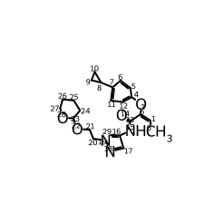 CC=C(Oc1ccc(C2CC2)cc1)C(=O)Nc1cnn(CCOC2CCCCO2)c1